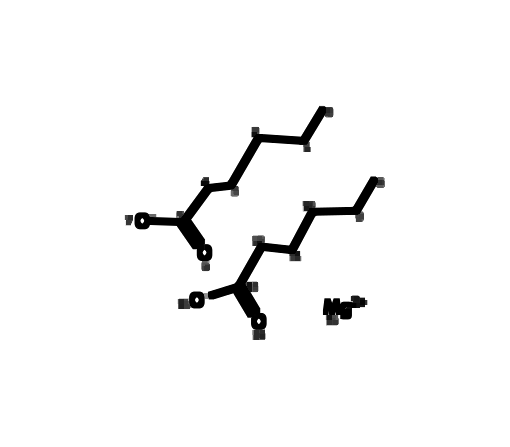 CCCCCC(=O)[O-].CCCCCC(=O)[O-].[Mg+2]